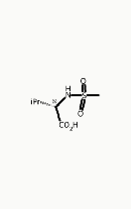 CC(C)[C@H](NS(C)(=O)=O)C(=O)O